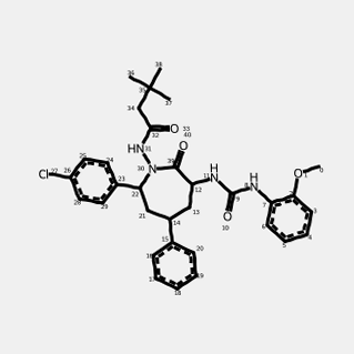 COc1ccccc1NC(=O)NC1CC(c2ccccc2)CC(c2ccc(Cl)cc2)N(NC(=O)CC(C)(C)C)C1=O